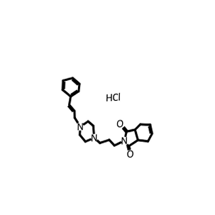 Cl.O=C1C2CC=CCC2C(=O)N1CCCN1CCN(CC=Cc2ccccc2)CC1